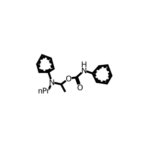 CCCN(c1ccccc1)C(C)OC(=O)Nc1ccccc1